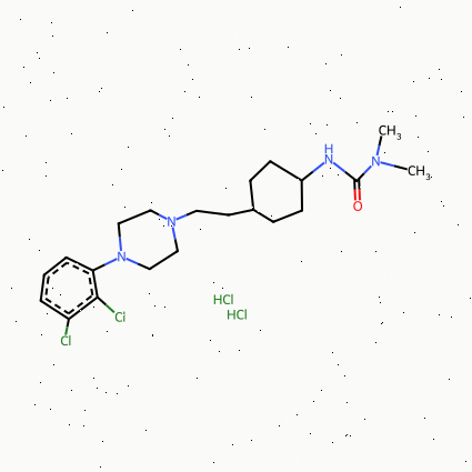 CN(C)C(=O)NC1CCC(CCN2CCN(c3cccc(Cl)c3Cl)CC2)CC1.Cl.Cl